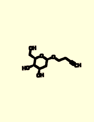 C#CCCO[C@H]1C[C@@H](O)[C@@H](O)[C@@H](CO)O1